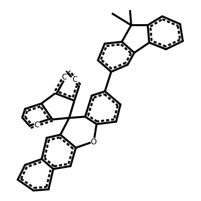 CC1(C)c2ccccc2-c2cc(-c3ccc4c(c3)C3(c5cc6ccccc6cc5O4)c4ccccc4-c4ccccc43)ccc21